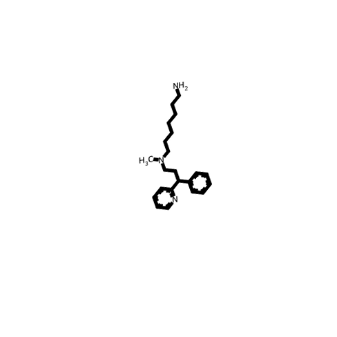 CN(CCCCCCCN)CCC(c1ccccc1)c1ccccn1